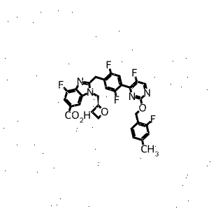 Cc1ccc(COc2ncc(F)c(-c3cc(F)c(Cc4nc5c(F)cc(C(=O)O)cc5n4C[C@@H]4CCO4)cc3F)n2)c(F)c1